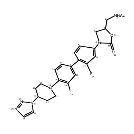 CC(=O)NCC1CN(c2ccc(-c3ccc(N4CCC(n5ccnn5)CC4)c(F)c3)c(F)c2)C(=O)O1